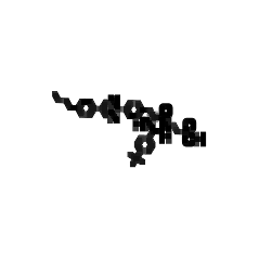 C=C(N[C@@H](Cc1ccc(-c2ncc(-c3ccc(CCCC)cc3)cn2)cc1)C(=O)NCCC(=O)O)c1ccc(C(C)(C)C)cc1